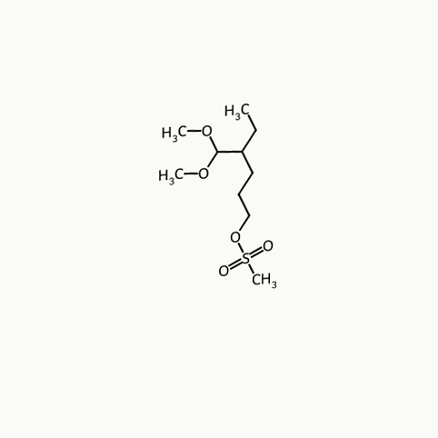 CCC(CCCOS(C)(=O)=O)C(OC)OC